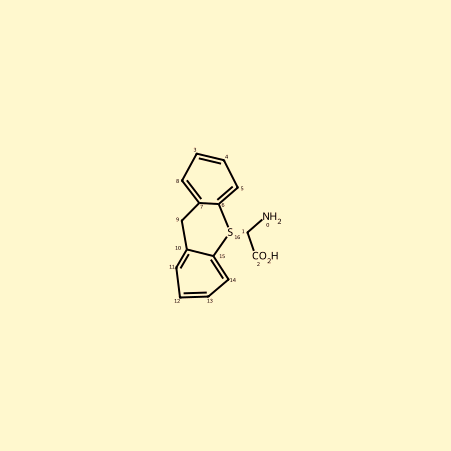 NCC(=O)O.c1ccc2c(c1)Cc1ccccc1S2